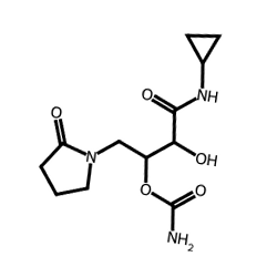 NC(=O)OC(CN1CCCC1=O)C(O)C(=O)NC1CC1